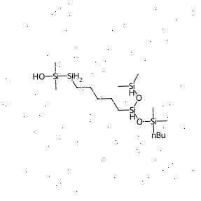 CCCC[Si](C)(C)O[SiH](CCCCC[SiH2][Si](C)(C)O)O[SiH](C)C